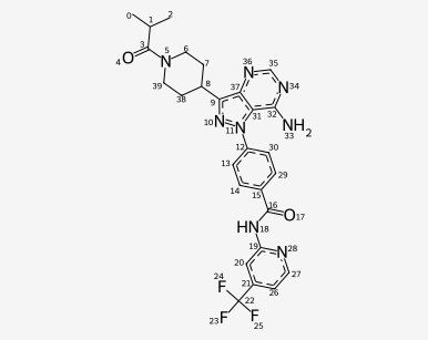 CC(C)C(=O)N1CCC(c2nn(-c3ccc(C(=O)Nc4cc(C(F)(F)F)ccn4)cc3)c3c(N)ncnc23)CC1